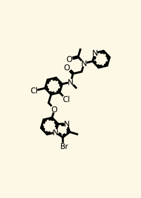 CC(=O)N(CC(=O)N(C)c1ccc(Cl)c(COc2cccn3c(Br)c(C)nc23)c1Cl)c1ccccn1